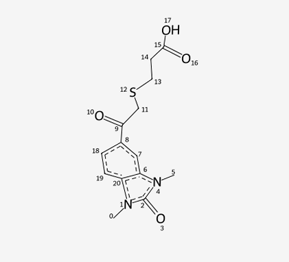 Cn1c(=O)n(C)c2cc(C(=O)CSCCC(=O)O)ccc21